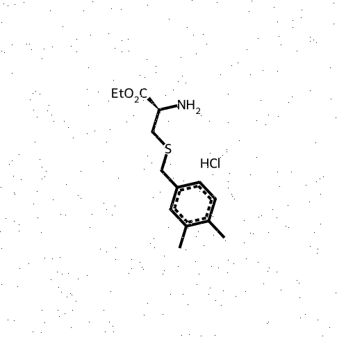 CCOC(=O)[C@@H](N)CSCc1ccc(C)c(C)c1.Cl